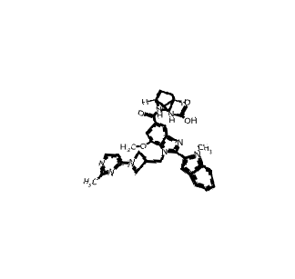 COc1cc(C(=O)N2C[C@H]3CC[C@@H]2[C@@H]3NC(=O)O)cc2nc(-c3cc4ccccc4n3C)n(CC3CN(c4ccnc(C)n4)C3)c12